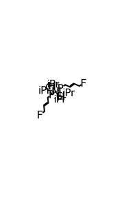 CC(C)[PH](CC=CCF)(C(C)C)[Ni]([Cl])([Cl])[PH](CC=CCF)(C(C)C)C(C)C